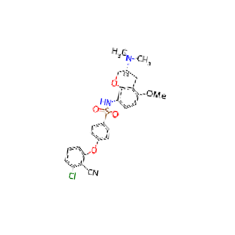 COc1ccc(NS(=O)(=O)c2ccc(Oc3cccc(Cl)c3C#N)cc2)c2c1C[C@@H](N(C)C)CO2